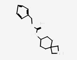 Cl.O=C(NC1CCC2(CC1)CNC2)OCc1ccccc1